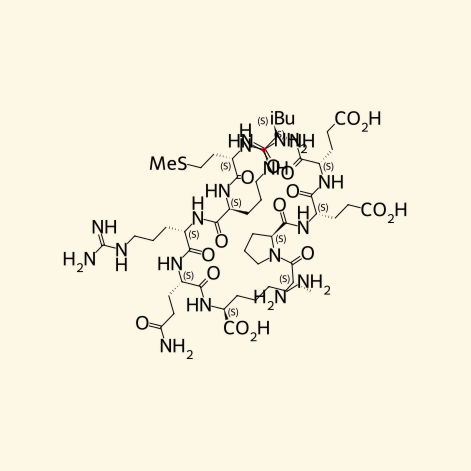 CC[C@H](C)[C@H](NC(=O)[C@H](CCC(=O)O)NC(=O)[C@H](CCC(=O)O)NC(=O)[C@@H]1CCCN1C(=O)[C@H](C)N)C(=O)N[C@@H](CCSC)C(=O)N[C@@H](CCCNC(=N)N)C(=O)N[C@@H](CCCNC(=N)N)C(=O)N[C@@H](CCC(N)=O)C(=O)N[C@@H](CCCCN)C(=O)O